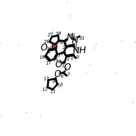 CC1=C(C(=O)OC(C)OC2CCCC2)C(c2ccccc2[N+](=O)[O-])c2c(C3CCCC3)nn(C)c2N1